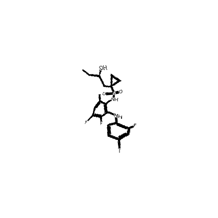 CC[C@@H](O)CC1(S(=O)(=O)Nc2c(C)cc(F)c(F)c2Nc2ccc(I)cc2F)CC1